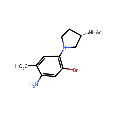 CC(=O)N[C@H]1CCN(c2cc(C(=O)O)c(N)cc2Br)C1